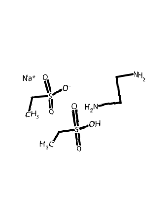 CCS(=O)(=O)O.CCS(=O)(=O)[O-].NCCN.[Na+]